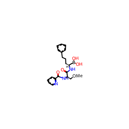 COC[C@@H](NC(=O)c1ccccn1)C(=O)N[C@@H](CCCc1ccccc1)B(O)O